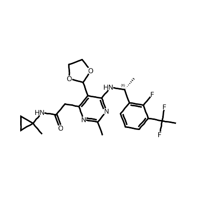 Cc1nc(CC(=O)NC2(C)CC2)c(C2OCCO2)c(N[C@H](C)c2cccc(C(C)(F)F)c2F)n1